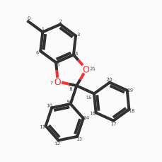 Cc1ccc2c(c1)OC(c1ccccc1)(c1ccccc1)O2